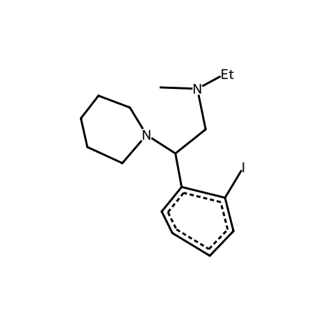 CCN(C)CC(c1ccccc1I)N1CCCCC1